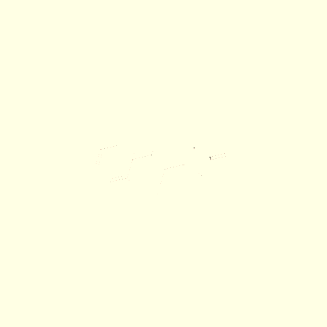 CC1(C)C(=O)NC1C(O)Cc1ccccc1